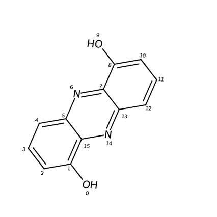 Oc1cccc2nc3c(O)cccc3nc12